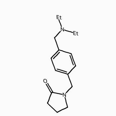 CCN(CC)Cc1ccc(CN2CCCC2=O)cc1